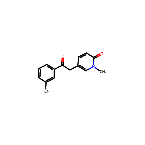 Cn1cc(CC(=O)c2cccc(C#N)c2)ccc1=O